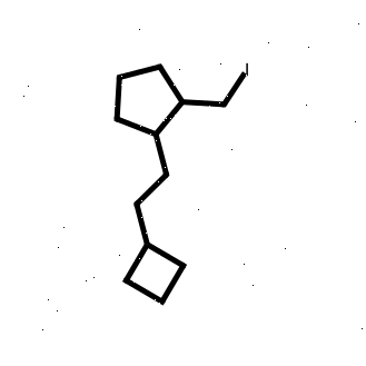 ICC1CCCC1CCC1CCC1